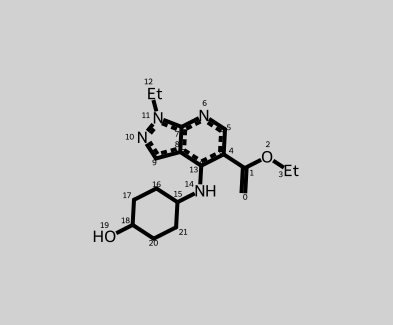 C=C(OCC)c1cnc2c(cnn2CC)c1NC1CCC(O)CC1